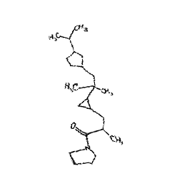 CC(CC1CC1C(C)(C)CC1CCC(C(C)C)C1)C(=O)N1CCCC1